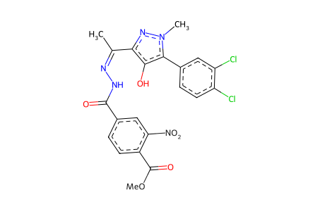 COC(=O)c1ccc(C(=O)N/N=C(/C)c2nn(C)c(-c3ccc(Cl)c(Cl)c3)c2O)cc1[N+](=O)[O-]